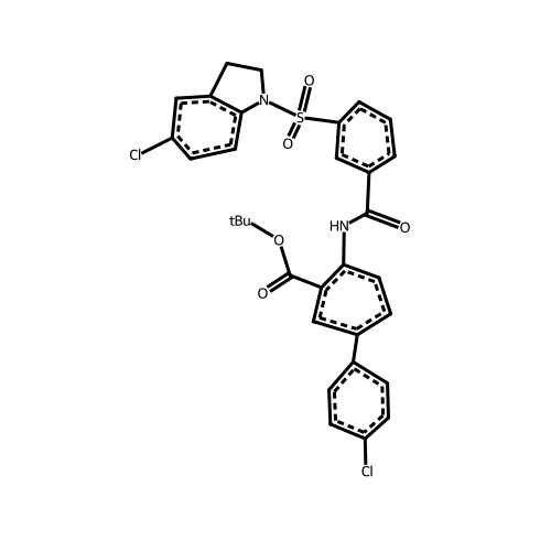 CC(C)(C)OC(=O)c1cc(-c2ccc(Cl)cc2)ccc1NC(=O)c1cccc(S(=O)(=O)N2CCc3cc(Cl)ccc32)c1